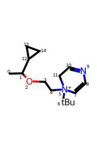 CC(OCC[N+]1(C(C)(C)C)C=CN=CC1)C1CC1